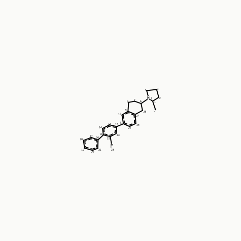 CC1CCCN1C1CCc2cc(-c3ccc(-c4ccccc4)c(F)c3)ccc2C1